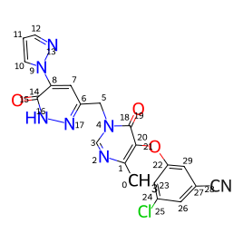 Cc1ncn(Cc2cc(-n3cccn3)c(=O)[nH]n2)c(=O)c1Oc1cc(Cl)cc(C#N)c1